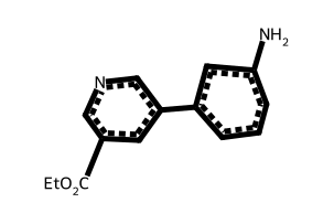 CCOC(=O)c1cncc(-c2cccc(N)c2)c1